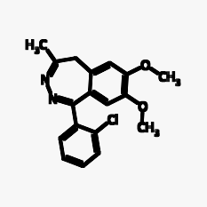 COc1cc2c(cc1OC)C(c1ccccc1Cl)=NN=C(C)C2